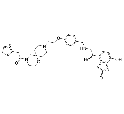 O=C(Cc1cccs1)N1CCOC2(CCN(CCOc3ccc(CNC[C@H](O)c4ccc(O)c5[nH]c(=O)sc45)cc3)CC2)C1